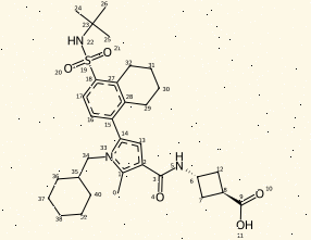 Cc1c(C(=O)N[C@H]2C[C@H](C(=O)O)C2)cc(-c2ccc(S(=O)(=O)NC(C)(C)C)c3c2CCCC3)n1CC1CCCCC1